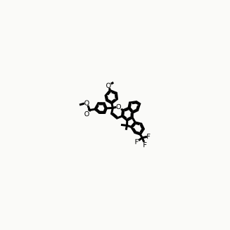 COC(=O)c1ccc(C2(c3ccc(OC)cc3)C=Cc3c4c(c5ccccc5c3O2)-c2ccc(C(F)(F)F)cc2C4(C)C)cc1